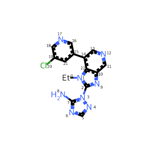 CCn1c(-n2ncnc2N)nc2cncc(-c3cncc(Cl)c3)c21